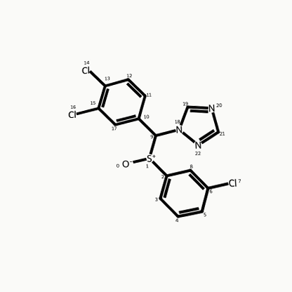 [O-][S+](c1cccc(Cl)c1)C(c1ccc(Cl)c(Cl)c1)n1cncn1